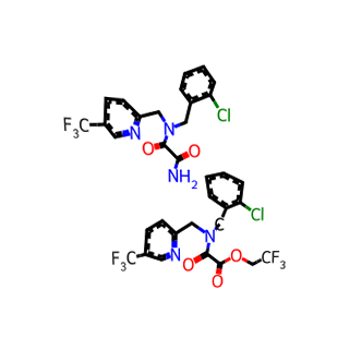 NC(=O)C(=O)N(Cc1ccc(C(F)(F)F)cn1)Cc1ccccc1Cl.O=C(OCC(F)(F)F)C(=O)N(Cc1ccc(C(F)(F)F)cn1)Cc1ccccc1Cl